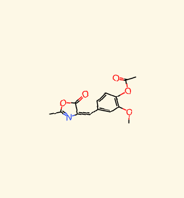 COc1cc(C=C2N=C(C)OC2=O)ccc1OC(C)=O